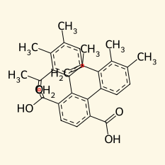 C=C(C)c1c(-c2c(C(=O)O)ccc(C(=O)O)c2-c2ccc(C)c(C)c2C(=C)C)ccc(C)c1C